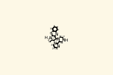 CCCC(C1=Nc2ccccc2SC1N)N1CCNCC1c1ncccn1